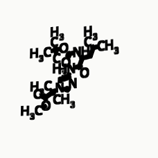 COC(=O)C(C)(C)n1cnc(NC(=O)C(CC(C)C)NC(=O)OC(C)(C)C)c1